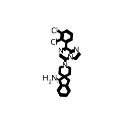 N[C@@H]1c2ccccc2CC12CCN(c1cnc(-c3cccc(Cl)c3Cl)c3nccn13)CC2